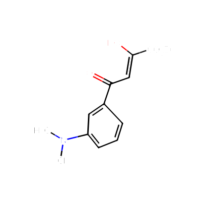 CCOC(=O)/C(O)=C/C(=O)c1cccc(N(C)C)c1